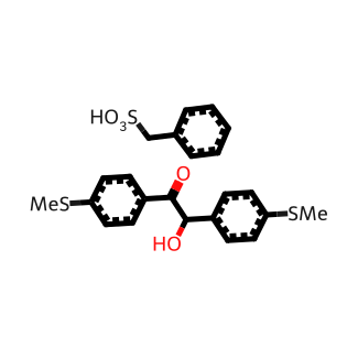 CSc1ccc(C(=O)C(O)c2ccc(SC)cc2)cc1.O=S(=O)(O)Cc1ccccc1